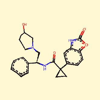 O=C(N[C@H](CN1CCC(O)C1)c1ccccc1)C1(c2ccc3oc(=O)[nH]c3c2)CC1